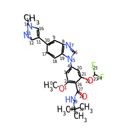 COc1cc(-n2cnc3cc(-c4cnn(C)c4)ccc32)cc(OC(F)F)c1C(=O)NC(C)(C)C